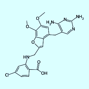 COc1cc(Cc2cnc(N)nc2N)c2cc(CNc3cc(Cl)ccc3C(=O)O)oc2c1OC